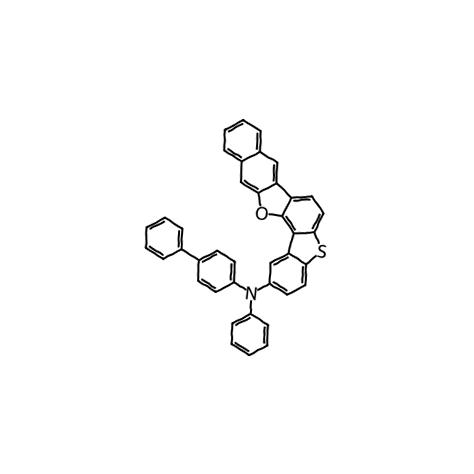 c1ccc(-c2ccc(N(c3ccccc3)c3ccc4sc5ccc6c7cc8ccccc8cc7oc6c5c4c3)cc2)cc1